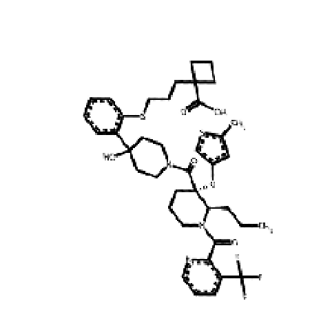 CCC[C@H]1N(C(=O)c2ncccc2C(F)(F)F)CCC[C@@]1(Oc1csc(C)c1)C(=O)N1CCC(O)(c2ccccc2SCCCC2(C(=O)O)CCC2)CC1